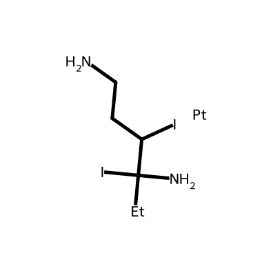 CCC(N)(I)C(I)CCN.[Pt]